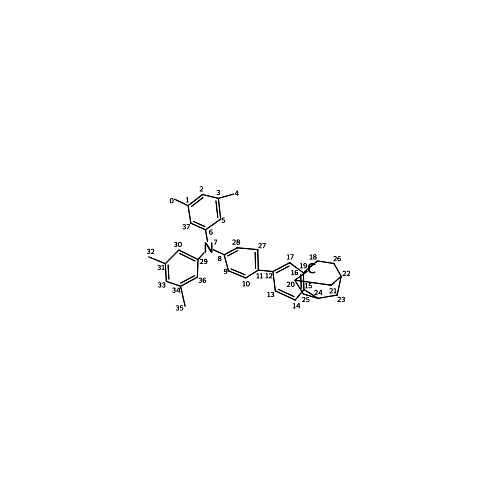 Cc1cc(C)cc(N(c2ccc(-c3ccc4c(c3)C3CC5CC(CC4C5)C3)cc2)c2cc(C)cc(C)c2)c1